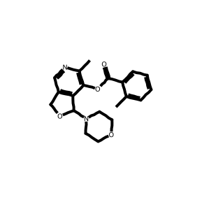 Cc1ccccc1C(=O)Oc1c(C)ncc2c1C(N1CCOCC1)OC2